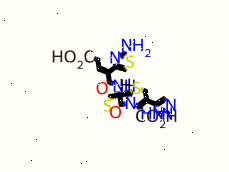 Nc1nc(C(=CCC(=O)O)C(=O)N[C@]2(C=S)C(=O)N3C(C(=O)O)=C(c4cnn[nH]4)CS[C@H]32)cs1